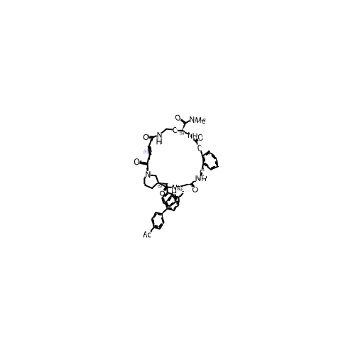 CNC(=O)[C@@H]1CCNC(=O)/C=C/C(=O)N2CCC[C@](Cc3ccccc3)(C2)C(=O)N[C@@H](Cc2ccc(-c3ccc(C(C)=O)cc3)cc2)C(=O)NCc2ccccc2CC(=O)N1